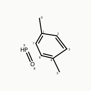 Cc1ccc(C)cc1.O=P